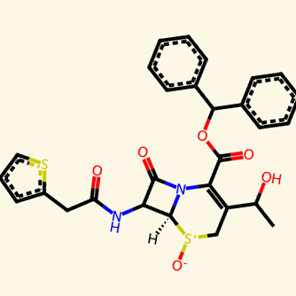 CC(O)C1=C(C(=O)OC(c2ccccc2)c2ccccc2)N2C(=O)C(NC(=O)Cc3cccs3)[C@@H]2[S+]([O-])C1